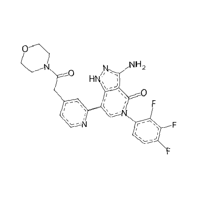 Nc1n[nH]c2c(-c3cc(CC(=O)N4CCOCC4)ccn3)cn(-c3ccc(F)c(F)c3F)c(=O)c12